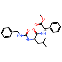 COC(=O)[C@@H](NC(=O)C(CC(C)C)NC(=O)NCc1ccccc1)c1ccccc1